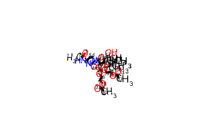 CC(=O)Nc1ccn([C@@H]2O[C@H](CO)[C@@H](O[Si](C)(C)C(C)(C)C)[C@H]2OC(OCCOC(C)=O)OCCOC(C)=O)c(=O)n1